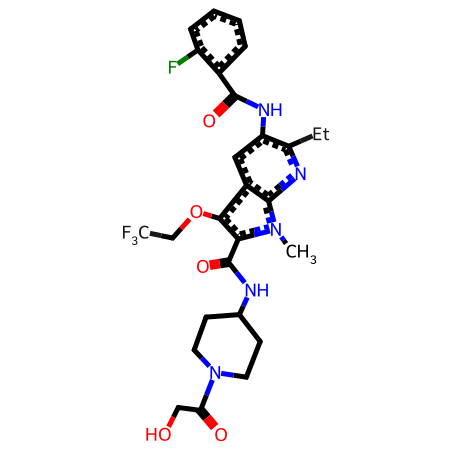 CCc1nc2c(cc1NC(=O)c1ccccc1F)c(OCC(F)(F)F)c(C(=O)NC1CCN(C(=O)CO)CC1)n2C